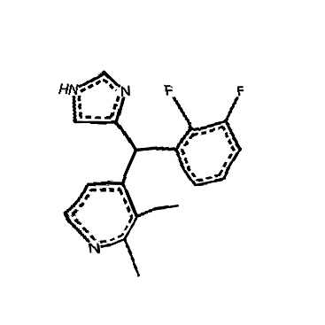 Cc1nccc(C(c2c[nH]cn2)c2cccc(F)c2F)c1C